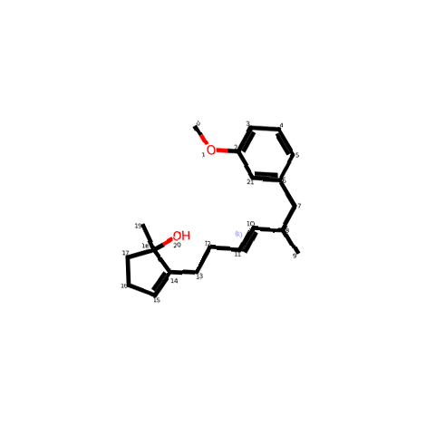 COc1cccc(CC(C)/C=C/CCC2=CCCC2(C)O)c1